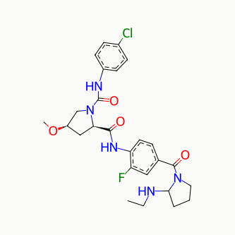 CCNC1CCCN1C(=O)c1ccc(NC(=O)[C@H]2C[C@@H](OC)CN2C(=O)Nc2ccc(Cl)cc2)c(F)c1